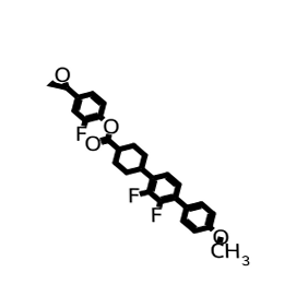 COc1ccc(-c2ccc(C3CCC(C(=O)Oc4ccc(C5CO5)cc4F)CC3)c(F)c2F)cc1